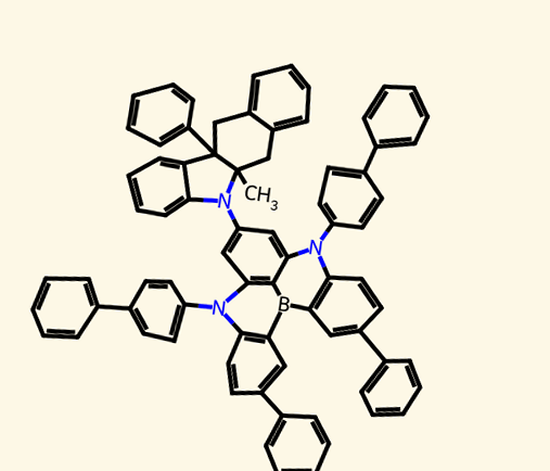 CC12Cc3ccccc3CC1(c1ccccc1)c1ccccc1N2c1cc2c3c(c1)N(c1ccc(-c4ccccc4)cc1)c1ccc(-c4ccccc4)cc1B3c1cc(-c3ccccc3)ccc1N2c1ccc(-c2ccccc2)cc1